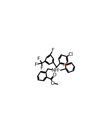 COC(=O)c1ccccc1CN[C@@](Cc1ccccc1)(c1cc(F)cc(C(F)(F)F)c1)c1ccc(Cl)cn1